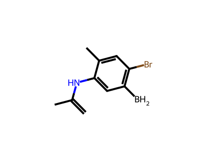 Bc1cc(NC(=C)C)c(C)cc1Br